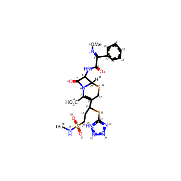 CON=C(C(=O)NC1C(=O)N2C(C(=O)O)=C(C(CCS(=O)(=O)NC(C)(C)C)Sc3nnn[nH]3)CS[C@@H]12)c1ccccc1